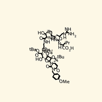 COc1ccc(Cn2c(=O)ccn([C@@H]3O[C@H](C(O)[C@H](NCCCNC(=O)[C@@H](NC(=O)[C@H](CCCNC(=N)N)NC(=O)N[C@H](C(=O)O)C(C)C)[C@@H](O)C(C)C)C(=O)OC(C)(C)C)[C@@H](O[Si](C)(C)C(C)(C)C)[C@H]3O[Si](C)(C)C(C)(C)C)c2=O)cc1